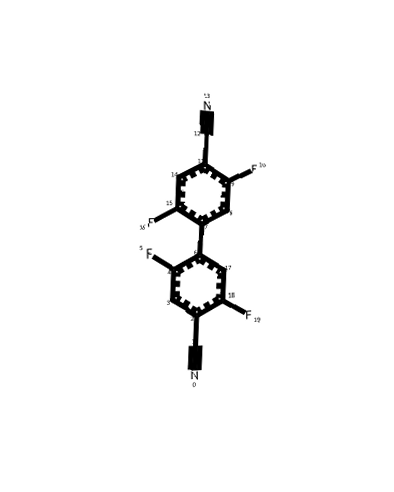 N#Cc1cc(F)c(-c2cc(F)c(C#N)cc2F)cc1F